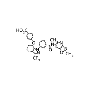 Cc1nc2ncc(N(C)C(=O)c3cccc(-n4nc(C(F)(F)F)c5c4[C@H](Oc4ccc(C(=O)O)cc4)CCC5)c3)cc2o1